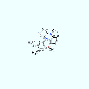 COc1cc(N2c3ccccc3N(C)c3ccccc32)c(OC)cc1C